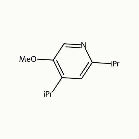 COc1cnc(C(C)C)cc1C(C)C